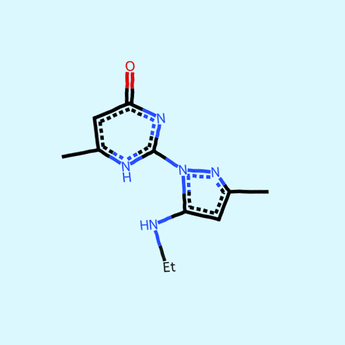 CCNc1cc(C)nn1-c1nc(=O)cc(C)[nH]1